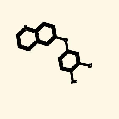 CC(=O)c1ccc(Oc2ccc3ncccc3c2)cc1Cl